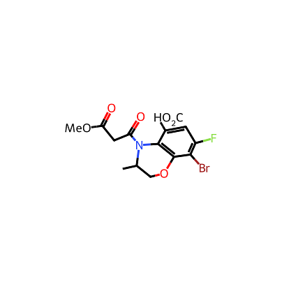 COC(=O)CC(=O)N1c2c(C(=O)O)cc(F)c(Br)c2OCC1C